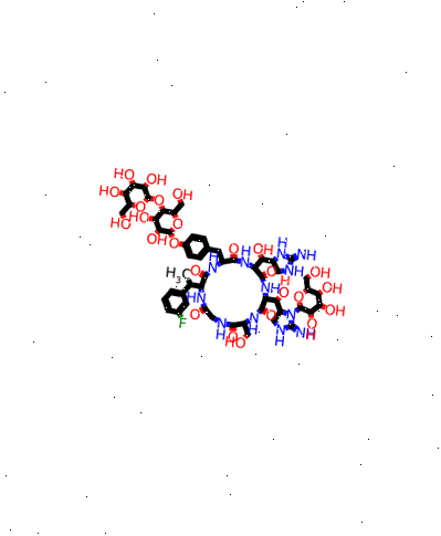 CC(c1cccc(F)c1)C1NC(=O)CNC(=O)C(CO)NC(=O)C(C(O)C2CNC(=N)N2C2OC(CO)C(O)C(O)C2O)NC(=O)C(C(O)C2CNC(=N)N2)NC(=O)C(Cc2ccc(OC3OC(CO)C(OC4OC(CO)C(O)C(O)C4O)C(O)C3O)cc2)NC1=O